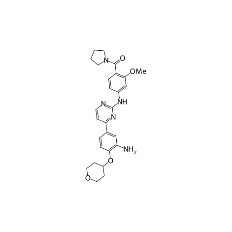 COc1cc(Nc2nccc(-c3ccc(OC4CCOCC4)c(N)c3)n2)ccc1C(=O)N1CCCC1